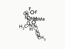 C=CC(=O)Nc1cc(Nc2cc(N3OCC[C@@H]3c3ccc(F)cc3F)ncn2)c(OC)cc1N1CCC(N2CCN(C)CC2)CC1